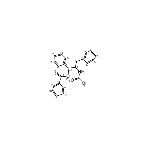 O=C(O)NC(Cc1ccccc1)C(OC(=O)c1ccccc1)c1ccccc1